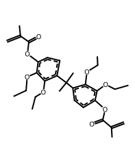 C=C(C)C(=O)Oc1ccc(C(C)(C)c2ccc(OC(=O)C(=C)C)c(OCC)c2OCC)c(OCC)c1OCC